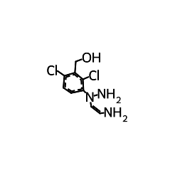 N/C=C\N(N)c1ccc(Cl)c(CO)c1Cl